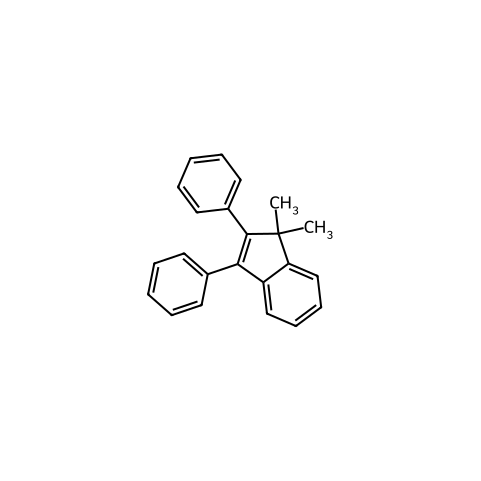 CC1(C)C(c2ccccc2)=C(c2ccccc2)c2ccccc21